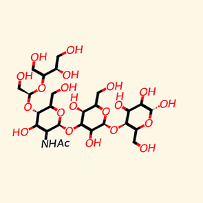 CC(=O)NC1C(O)[C@H](O[C@@H](CO)OC(CO)[C@H](O)CO)C(CO)O[C@H]1OC1C(O)[C@H](O[C@@H]2C(CO)O[C@@H](O)C(O)C2O)OC(CO)[C@@H]1O